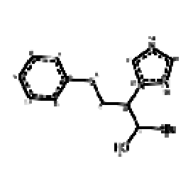 CC(C)(C)C(O)C(CSc1ccccc1)n1cncn1